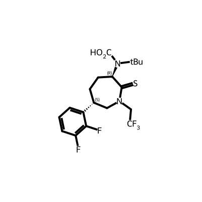 CC(C)(C)N(C(=O)O)[C@@H]1CC[C@@H](c2cccc(F)c2F)CN(CC(F)(F)F)C1=S